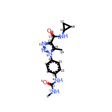 CNC(=O)Nc1ccc(-n2nnc(C(=O)NC3CC3)c2C)cc1